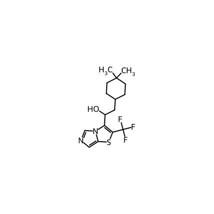 CC1(C)CCC(CC(O)c2c(C(F)(F)F)sc3cncn23)CC1